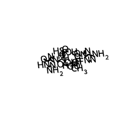 CP1(=O)OC[C@H]2O[C@@H](n3cnc4c(=O)[nH]c(N)nc43)[C@H](O[P@](=O)(S)OC[C@H]3O[C@@H](n4cnc5c(N)ncnc54)[C@H](F)[C@@H]3O1)[C@@H]2O